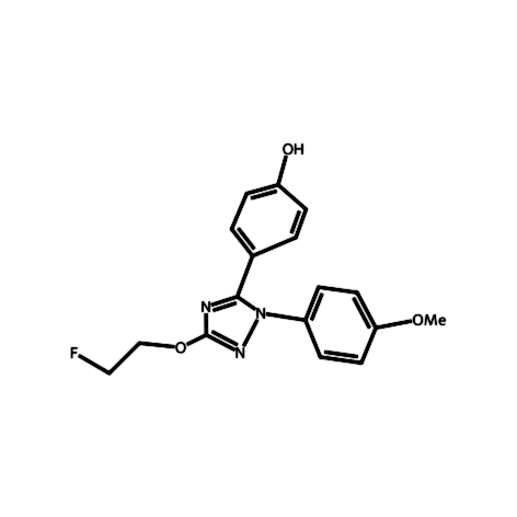 COc1ccc(-n2nc(OCCF)nc2-c2ccc(O)cc2)cc1